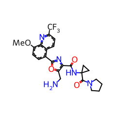 COc1ccc(-c2nc(C(=O)NC3(C(=O)N4CCCC4)CC3)c(CN)o2)c2ccc(C(F)(F)F)nc12